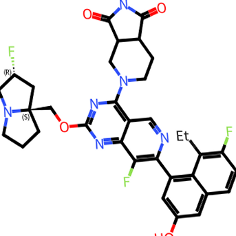 CCc1c(F)ccc2cc(O)cc(-c3ncc4c(N5CCC6C(=O)NC(=O)C6C5)nc(OC[C@@]56CCCN5C[C@H](F)C6)nc4c3F)c12